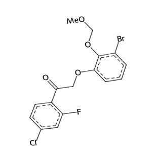 COCOc1c(Br)cccc1OCC(=O)c1ccc(Cl)cc1F